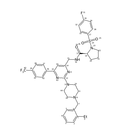 CCc1ccccc1CN1CCN(c2nc(CNC(=O)[C@@H]3CCCN3S(=O)(=O)c3ccc(F)cc3)cc(-c3ccc(C(F)(F)F)cc3)n2)CC1